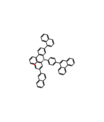 c1ccc(-c2ccc(-c3cccc4ccccc34)cc2N(c2ccc(-c3cc4ccccc4c4ccccc34)cc2)c2cccc(-c3ccc4ccccc4c3)c2)cc1